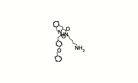 NCCCCCNC(=O)C1Cc2ccccc2CN1C(=O)Cc1ccc(OCc2ccccc2)cc1